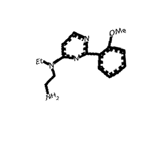 CCN(CCN)c1ccnc(-c2ccccc2OC)n1